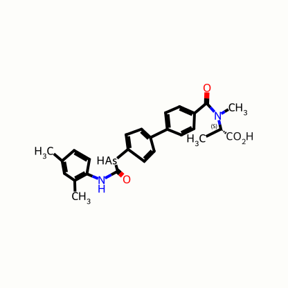 Cc1ccc(NC(=O)[AsH]c2ccc(-c3ccc(C(=O)N(C)[C@@H](C)C(=O)O)cc3)cc2)c(C)c1